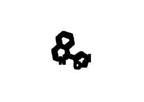 c1ccc2c(-c3cnco3)nccc2c1